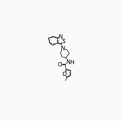 Cc1ccc(C(=O)NC2CCN(c3snc4ccccc34)CC2)o1